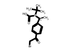 C[C@@H](c1ccc(C(=O)CBr)cc1)N(C(=O)O)C(C)(C)C